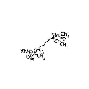 CC(OC(=O)CCCCCC(=O)OC(C)S(=O)(=O)OC(C)(C)C)S(C)(=O)=O